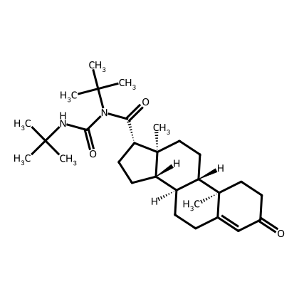 CC(C)(C)NC(=O)N(C(=O)[C@H]1CC[C@H]2[C@@H]3CCC4=CC(=O)CC[C@]4(C)[C@H]3CC[C@]12C)C(C)(C)C